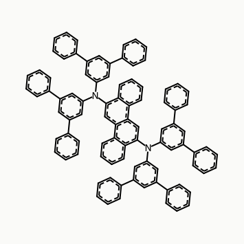 c1ccc(-c2cc(-c3ccccc3)cc(N(c3cc(-c4ccccc4)cc(-c4ccccc4)c3)c3cc4c5ccccc5c(N(c5cc(-c6ccccc6)cc(-c6ccccc6)c5)c5cc(-c6ccccc6)cc(-c6ccccc6)c5)cc4c4ccccc34)c2)cc1